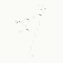 CCCCCCCCCCCCOC(=O)CS(=O)(=O)O.O=C(O)CC(C(=O)O)S(=O)(=O)O.[NaH]